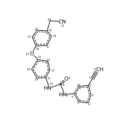 C#Cc1cccc(NC(=O)Nc2ccc(Oc3ccc(CC#N)cc3)cc2)c1